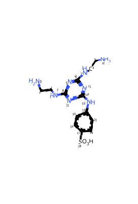 NCCNc1nc(NCCN)nc(Nc2ccc(S(=O)(=O)O)cc2)n1